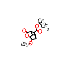 CCC(C)OC1C2CC3C1OC(=O)C3C2C(=O)OC(C(F)(F)F)C(F)(F)F